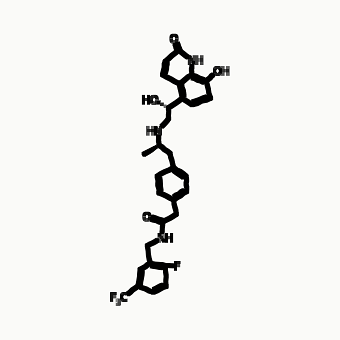 C[C@H](Cc1ccc(CC(=O)NCc2cc(C(F)(F)F)ccc2F)cc1)NC[C@H](O)c1ccc(O)c2[nH]c(=O)ccc12